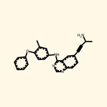 Cc1cc(Nc2ncnc3ccc(C#CC(C)N)cc23)ccc1Oc1ccccc1